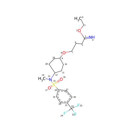 CCOC(=N)CCCOC1CCC(N(C)S(=O)(=O)c2ccc(C(F)(F)F)cc2)CC1